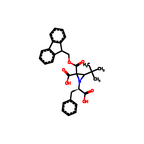 CC(C)(C)C1N([C@@H](Cc2ccccc2)C(=O)O)C1(C(=O)O)C(=O)OCC1c2ccccc2-c2ccccc21